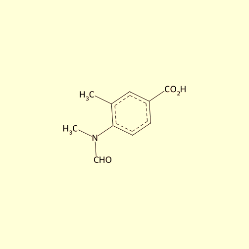 Cc1cc(C(=O)O)ccc1N(C)C=O